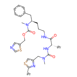 CC(C)c1nc(CN(C)C(=O)N[C@H](C(=O)NCCC[C@H](Cc2ccccc2)N(C)C(=O)OCc2cncs2)C(C)C)cs1